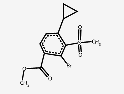 COC(=O)c1ccc(C2CC2)c(S(C)(=O)=O)c1Br